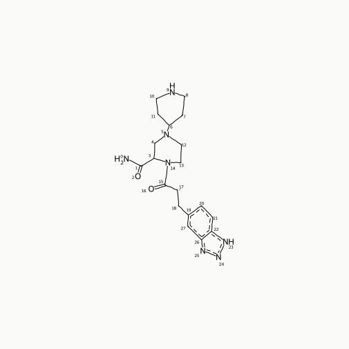 NC(=O)C1CN(C2CCNCC2)CCN1C(=O)[CH]Cc1ccc2[nH]nnc2c1